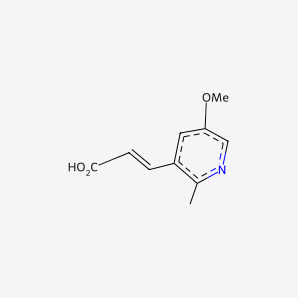 COc1cnc(C)c(/C=C/C(=O)O)c1